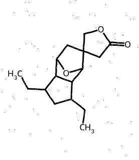 CCC1CC(CC)C2C1C1CC3(COC(=O)C3)C2O1